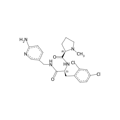 CN1CCC[C@@H]1C(=O)N[C@@H](Cc1ccc(Cl)cc1Cl)C(=O)NCc1ccc(N)nc1